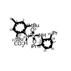 Cc1cc(C(C)(C)C)c(N(C(=O)O)S(=O)(=O)Nc2c(C(C)C)cccc2C(C)C)c(C(C)(C)C)c1